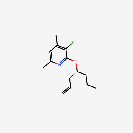 C=CC[C@@H](CCC)Oc1nc(C)cc(C)c1Cl